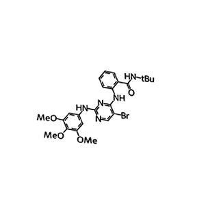 COc1cc(Nc2ncc(Br)c(Nc3ccccc3C(=O)NC(C)(C)C)n2)cc(OC)c1OC